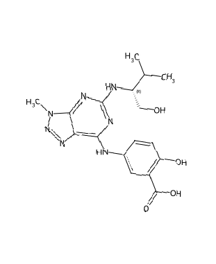 CC(C)[C@H](CO)Nc1nc(Nc2ccc(O)c(C(=O)O)c2)c2nnn(C)c2n1